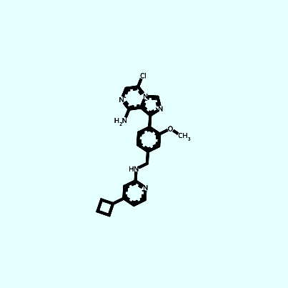 COc1cc(CNc2cc(C3CCC3)ccn2)ccc1-c1ncn2c(Cl)cnc(N)c12